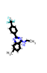 CCNc1nc(-c2ccc(C(F)(F)F)cc2)nc2cc(C)ccc12